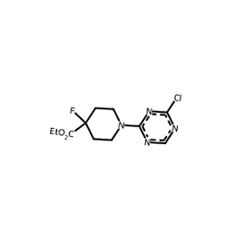 CCOC(=O)C1(F)CCN(c2ncnc(Cl)n2)CC1